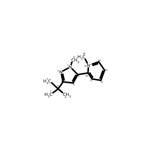 Cn1nc(C(C)(C)C)cc1-c1cccc[n+]1C